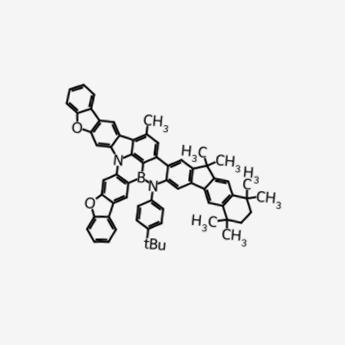 Cc1cc2c3c4c1c1cc5c(cc1n4-c1cc4oc6ccccc6c4cc1B3N(c1ccc(C(C)(C)C)cc1)c1cc3c(cc1-2)C(C)(C)c1cc2c(cc1-3)C(C)(C)CCC2(C)C)oc1ccccc15